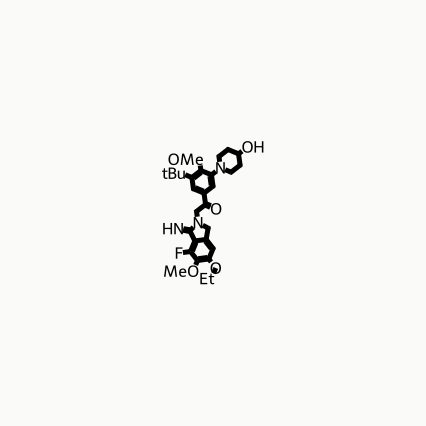 CCOc1cc2c(c(F)c1OC)C(=N)N(CC(=O)c1cc(N3CCC(O)CC3)c(OC)c(C(C)(C)C)c1)C2